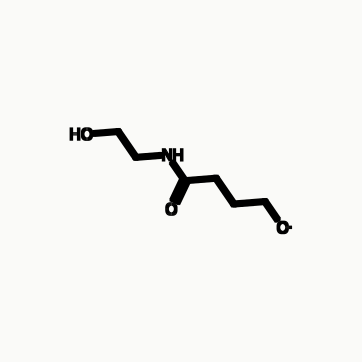 [O]CCCC(=O)NCCO